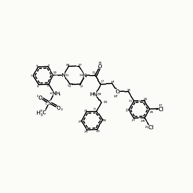 CS(=O)(=O)Nc1ccccc1N1CCN(C(=O)C(COCc2ccc(Cl)c(Cl)c2)NCc2ccccc2)CC1